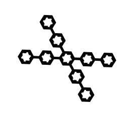 c1ccc(-c2ccc(-c3cc(-c4ccc(-c5ccccc5)cc4)c(-c4ccc(-c5ccccc5)cc4)cc3-c3ccc(-c4ccccc4)cc3)cc2)cc1